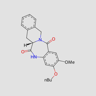 CCCCOc1cc2c(cc1OC)C(=O)N1Cc3ccccc3C[C@H]1C(=O)N2